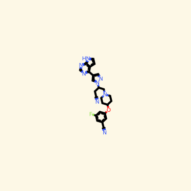 N#CCC(CN1CCC(Oc2cc(F)cc(C#N)c2)CC1)n1cc(-c2ncnc3[nH]ccc23)cn1